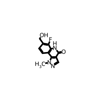 Cn1ncc2c(=O)[nH]c3c(F)c(CO)ccc3c21